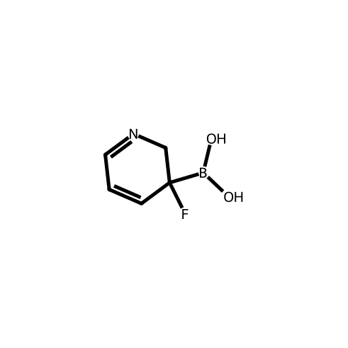 OB(O)C1(F)C=CC=NC1